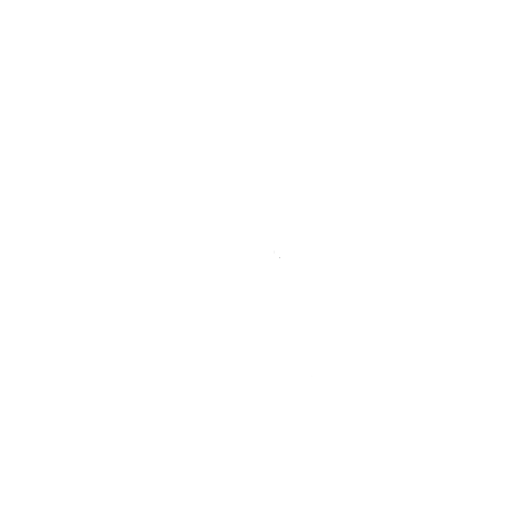 Fc1ccc(SCc2ccccc2)cc1